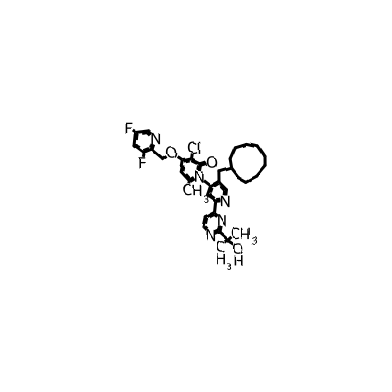 Cc1cc(OCc2ncc(F)cc2F)c(Cl)c(=O)n1-c1cc(-c2ccnc(C(C)(C)O)n2)ncc1CC1CCCCCCCCC1